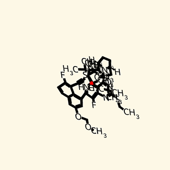 CCSc1nc2c3c(nc(-c4cc(OCOC)cc5ccc(F)c(C#C[Si](C(C)C)(C(C)C)C(C)C)c45)c(F)c3n1)C[C@@H](C)[C@H]1[C@@H]3CC[C@H](CN21)N3C(=O)OC(C)(C)C